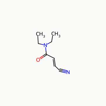 CCN(CC)C(=O)/C=C/C#N